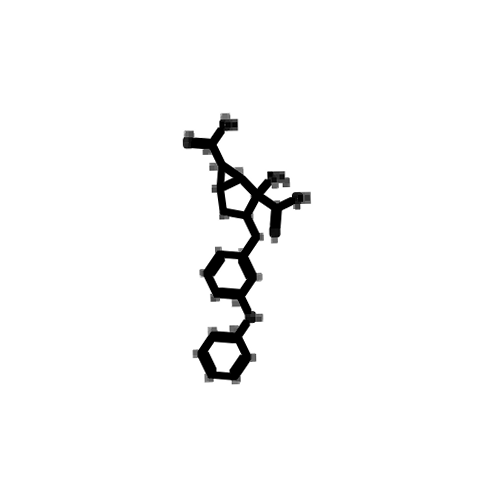 NC1(C(=O)O)C(Cc2cccc(Oc3ccccc3)c2)CC2C(C(=O)O)C21